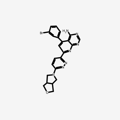 Nc1ncnc2nc(-c3ccc(N4CC5COCC5C4)nn3)cc(-c3cccc(Br)c3)c12